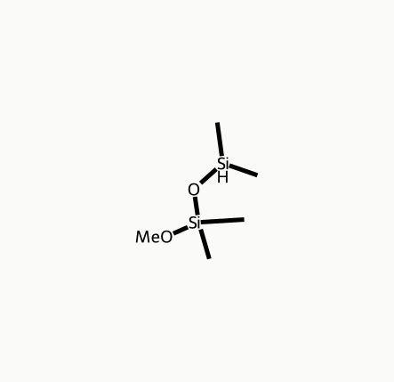 CO[Si](C)(C)O[SiH](C)C